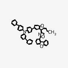 C=C/C=c1/oc2ccc(-c3ccc(N(c4ccc(-c5ccccc5)cc4)c4cccc(-c5ccccc5)c4)cc3)cc2/c1=C1/COC(c2cccc3oc4ccccc4c23)=N1